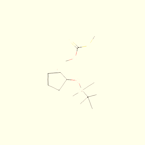 CSC(=S)OC[C@H]1CCCC1O[Si](C)(C)C(C)(C)C